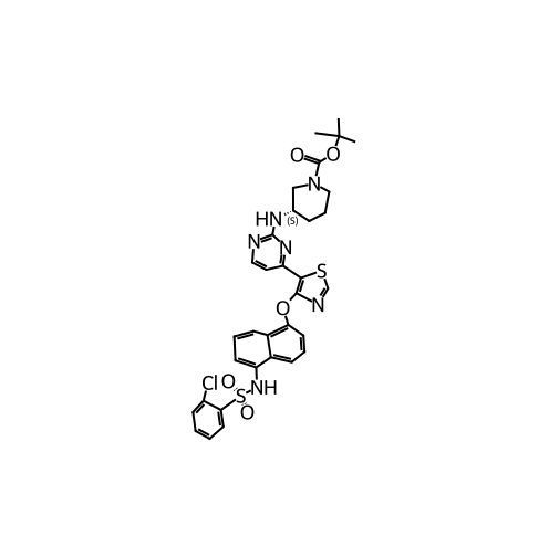 CC(C)(C)OC(=O)N1CCC[C@H](Nc2nccc(-c3scnc3Oc3cccc4c(NS(=O)(=O)c5ccccc5Cl)cccc34)n2)C1